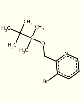 CC(C)(C)[Si](C)(C)OCc1ncccc1Br